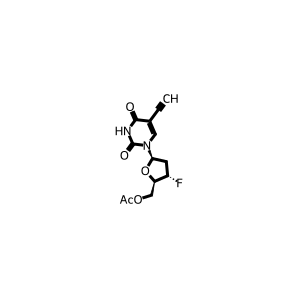 C#Cc1cn([C@H]2C[C@H](F)[C@@H](COC(C)=O)O2)c(=O)[nH]c1=O